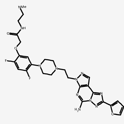 CNCCNC(=O)COc1cc(N2CCN(CCn3ncc4c3nc(N)n3nc(-c5ccco5)nc43)CC2)c(F)cc1F